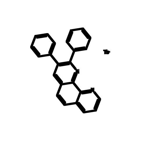 [Tb].c1ccc(-c2cc3ccc4cccnc4c3nc2-c2ccccc2)cc1